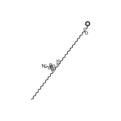 CCCCCCCCCCCCCCCCCCOCC(CNCCCCCCCCCCCCCCCCCCCCC(=O)OCc1ccccc1)OP(=O)([O-])OCC[N+](C)(C)C